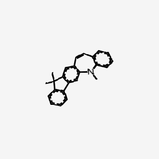 CN1c2ccccc2C=Cc2cc3c(cc21)-c1ccccc1C3(C)C